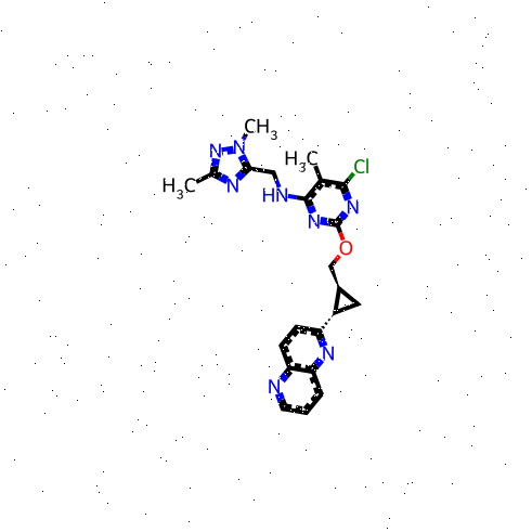 Cc1nc(CNc2nc(OC[C@H]3C[C@@H]3c3ccc4ncccc4n3)nc(Cl)c2C)n(C)n1